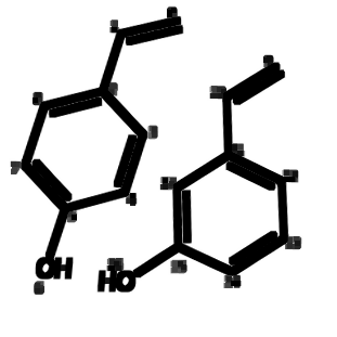 C=Cc1ccc(O)cc1.C=Cc1cccc(O)c1